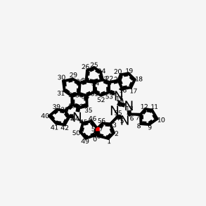 c1ccc(-c2nc(-c3ccccc3)nc(-n3c4ccccc4c4c5cccc6c7cccc8c7c(cc7c8c8ccccc8n7-c7ccccc7)c(cc43)c65)n2)cc1